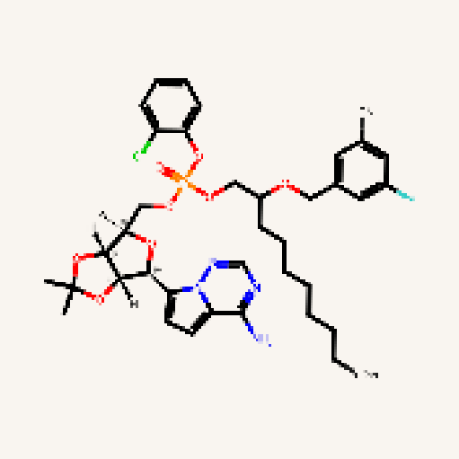 CCCCCCCCCCCCCCCCCC(COP(=O)(OC[C@@]1(C)O[C@@H](c2ccc3c(N)ncnn23)[C@@H]2OC(C)(C)O[C@@H]21)Oc1ccccc1Cl)OCc1cc(F)cc(C#N)c1